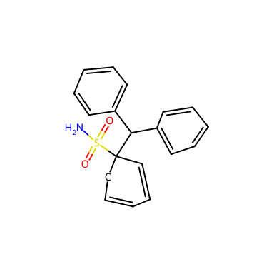 NS(=O)(=O)C1(C(c2ccccc2)c2ccccc2)C=CC=CC1